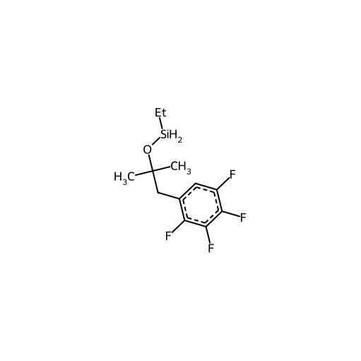 CC[SiH2]OC(C)(C)Cc1cc(F)c(F)c(F)c1F